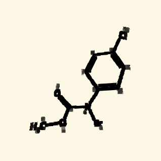 COC(=O)N(Br)c1ccc(Cl)cc1